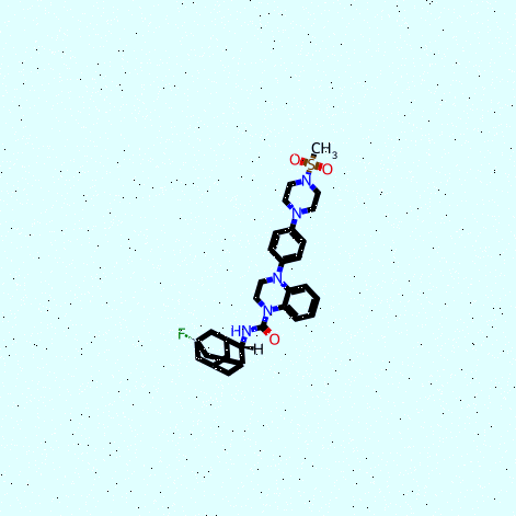 CS(=O)(=O)N1CCN(c2ccc(N3CCN(C(=O)N[C@H]4C5CC6CC4C[C@@](F)(C6)C5)c4ccccc43)cc2)CC1